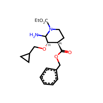 CCOC(=O)N1CC[C@@H](C(=O)OCc2ccccc2)[C@H](OCC2CC2)C1N